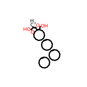 C1=C\CCCCCCCCCC/1.C1=C\CCCCCCCCCC/1.C1=C\CCCCCCCCCC/1.CC(=C/C1=C(\C(=O)O)CCCCCCCCCC1)C(=O)O